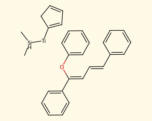 C(=Cc1ccccc1)C=C(Oc1ccccc1)c1ccccc1.C[SiH](C)[Ti][C]1=CC=CC1